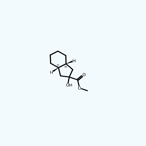 COC(=O)C1(O)C[C@H]2CCCC[C@H]2C1